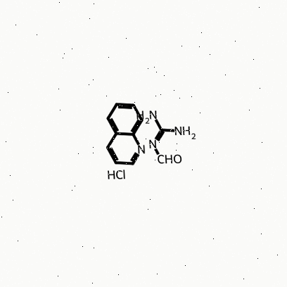 Cl.NC(N)=NC=O.c1ccc2ncccc2c1